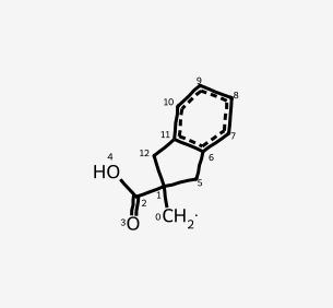 [CH2]C1(C(=O)O)Cc2ccccc2C1